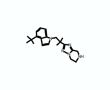 CC(C)(C)c1cccc2c1ccn2CC(C)(C)c1nc2n(n1)CCNC2